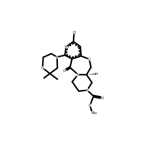 CC(C)(C)OC(=O)N1CCN2C(=O)c3c(cc(Cl)nc3N3CCOC(C)(C)C3)OC[C@H]2C1